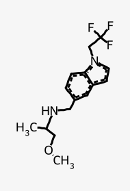 COCC(C)NCc1ccc2c(ccn2CC(F)(F)F)c1